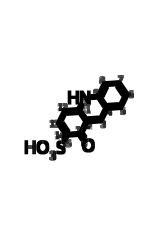 O=c1c2cc3ccccc3[nH]c-2ccc1S(=O)(=O)O